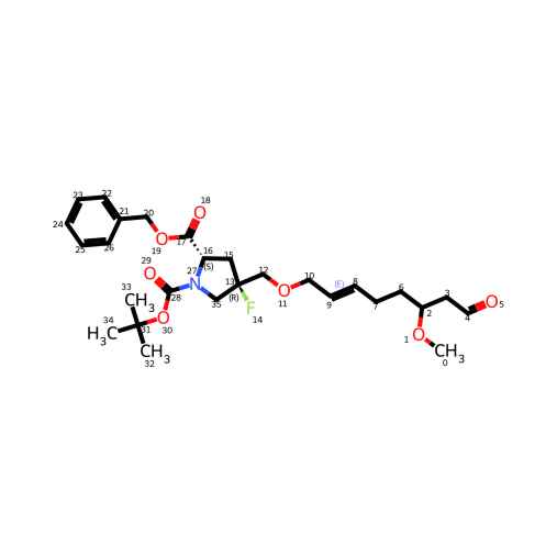 COC(CC=O)CC/C=C/COC[C@@]1(F)C[C@@H](C(=O)OCc2ccccc2)N(C(=O)OC(C)(C)C)C1